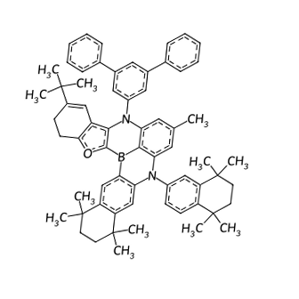 Cc1cc2c3c(c1)N(c1cc(-c4ccccc4)cc(-c4ccccc4)c1)c1c(oc4c1C=C(C(C)(C)C)CC4)B3c1cc3c(cc1N2c1ccc2c(c1)C(C)(C)CCC2(C)C)C(C)(C)CCC3(C)C